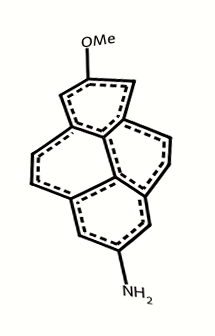 COc1cc2ccc3cc(N)cc4ccc(c1)c2c34